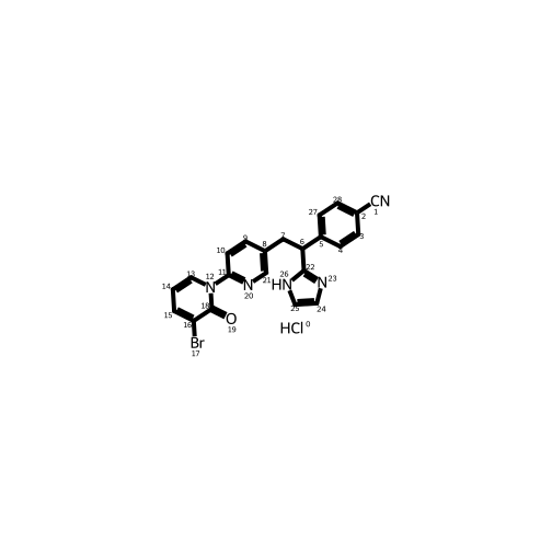 Cl.N#Cc1ccc(C(Cc2ccc(-n3cccc(Br)c3=O)nc2)c2ncc[nH]2)cc1